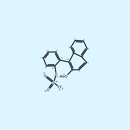 COc1ccc2ccccc2c1-c1ccccc1OS(=O)(=O)C(F)(F)F